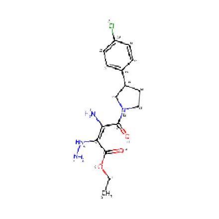 CCOC(=O)/C(NN)=C(/N)C(=O)N1CCC(c2ccc(Cl)cc2)C1